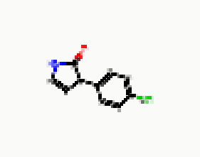 O=C1NC=CC1c1ccc(Cl)cc1